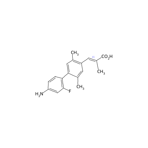 C/C(=C\c1cc(C)c(-c2ccc(N)cc2F)cc1C)C(=O)O